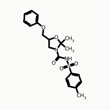 Cc1ccc(S(=O)(=O)NC(=O)N2CC(COc3ccccc3)OC2(C)C)cc1